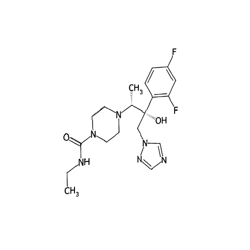 CCNC(=O)N1CCN([C@H](C)[C@](O)(Cn2cncn2)c2ccc(F)cc2F)CC1